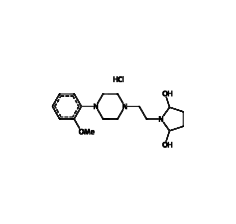 COc1ccccc1N1CCN(CCN2C(O)CCC2O)CC1.Cl